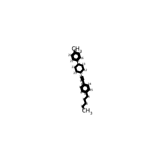 CCCCCc1ccc(C#C[C@H]2CC[C@H](c3ccc(C)cc3)CC2)cc1